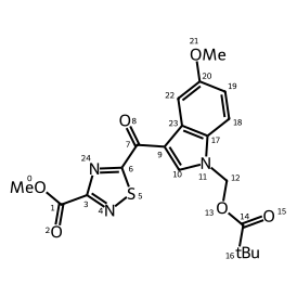 COC(=O)c1nsc(C(=O)c2cn(COC(=O)C(C)(C)C)c3ccc(OC)cc23)n1